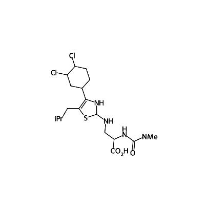 CNC(=O)NC(CNC1NC(C2CCC(Cl)C(Cl)C2)=C(CC(C)C)S1)C(=O)O